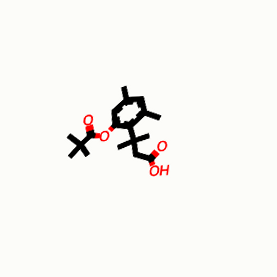 Cc1cc(C)c(C(C)(C)CC(=O)O)c(OC(=O)C(C)(C)C)c1